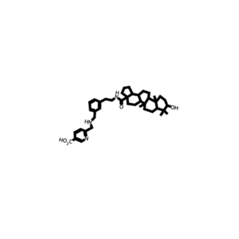 CC1(C)C(O)CCC2(C)C1CCC1(C)C3CCC4(C(=O)NCCc5cccc(CNCc6ccc(C(=O)O)cn6)c5)CCCC4C3CCC12